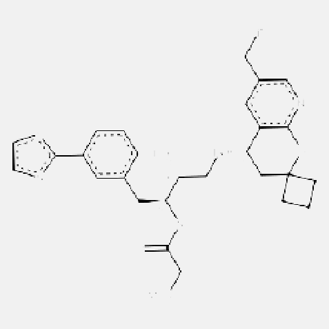 COCC(=O)N[C@@H](Cc1cccc(-c2nccs2)c1)[C@H](O)CN[C@H]1CC2(CCC2)Oc2ncc(CC(C)C)cc21